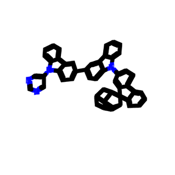 c1ccc2c(c1)-c1ccc(-n3c4ccccc4c4cc(-c5ccc6c(c5)c5ccccc5n6-c5cncnc5)ccc43)cc1C21C2CC3CC(C2)CC1C3